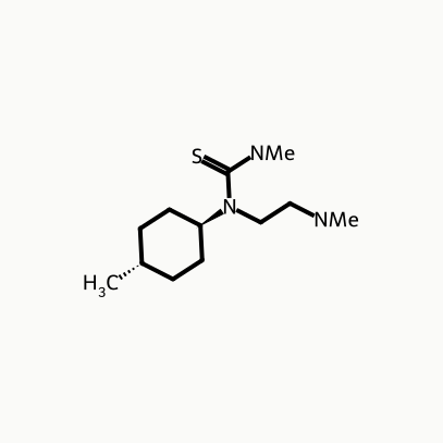 CNCCN(C(=S)NC)[C@H]1CC[C@H](C)CC1